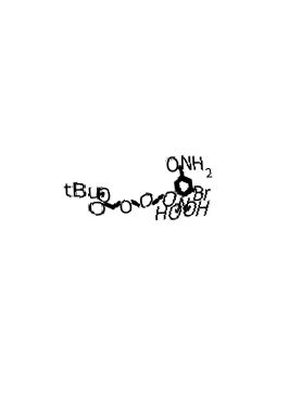 CC(C)(C)OC(=O)CCOCCOCCOc1cc(C(N)=O)cc(Br)c1N(O)O